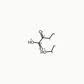 CCC(=O)C(=O)O.CCO